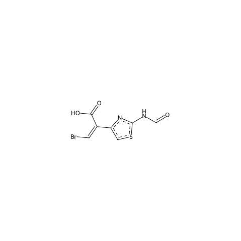 O=CNc1nc(C(=CBr)C(=O)O)cs1